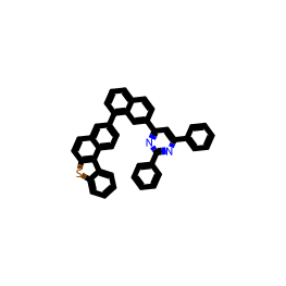 c1ccc(-c2cc(-c3ccc4cccc(-c5ccc6c(ccc7sc8ccccc8c76)c5)c4c3)nc(-c3ccccc3)n2)cc1